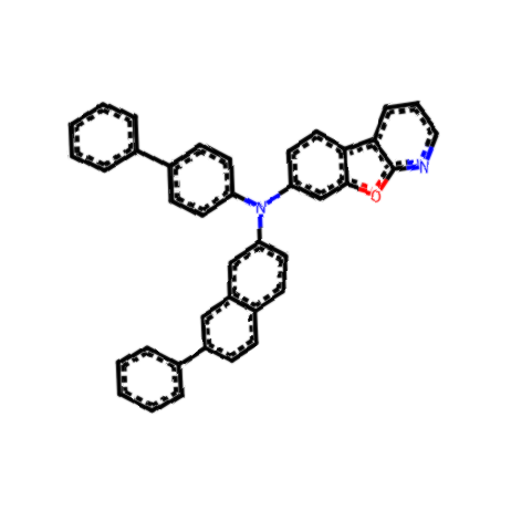 c1ccc(-c2ccc(N(c3ccc4ccc(-c5ccccc5)cc4c3)c3ccc4c(c3)oc3ncccc34)cc2)cc1